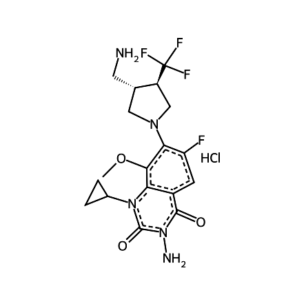 COc1c(N2C[C@H](CN)[C@@H](C(F)(F)F)C2)c(F)cc2c(=O)n(N)c(=O)n(C3CC3)c12.Cl